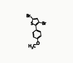 COc1ccc(-c2sc(Br)cc2Br)cc1